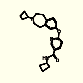 O=C(NC1CCC1)c1ccc(Oc2ccc3c(c2)CCN(C2CCC2)CC3)nc1